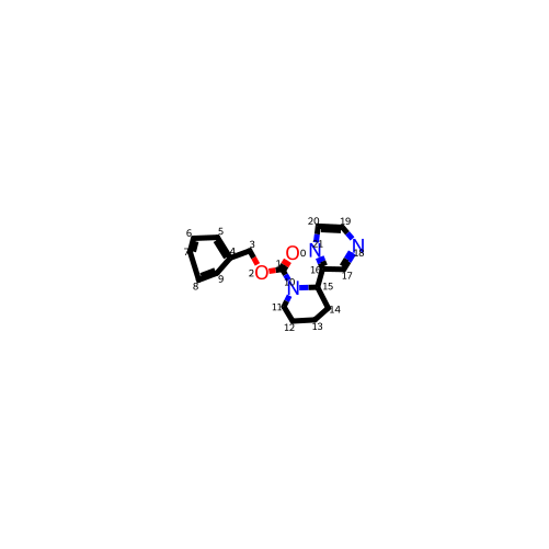 O=C(OCc1ccccc1)N1CCCCC1c1cnccn1